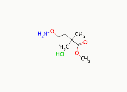 COC(=O)C(C)(C)CCON.Cl